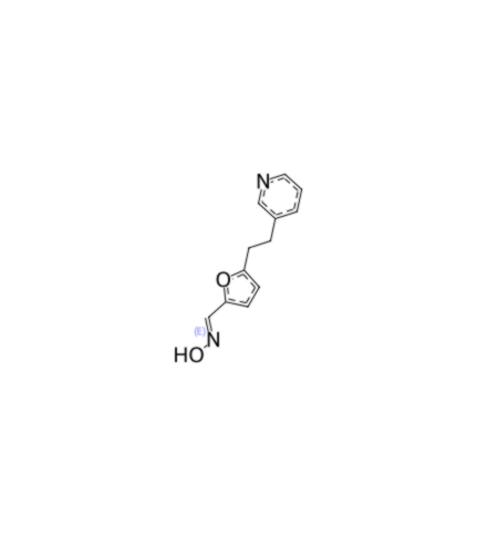 O/N=C/c1ccc(CCc2cccnc2)o1